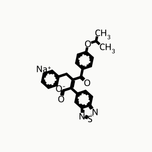 CC(C)Oc1ccc(C(=O)C(Cc2ccccc2)=C(C(=O)[O-])c2ccc3nsnc3c2)cc1.[Na+]